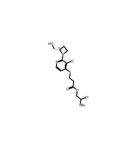 CCCCC(CC)COC(=O)CCSc1ccnc(N2CC[C@H]2CO)c1Cl